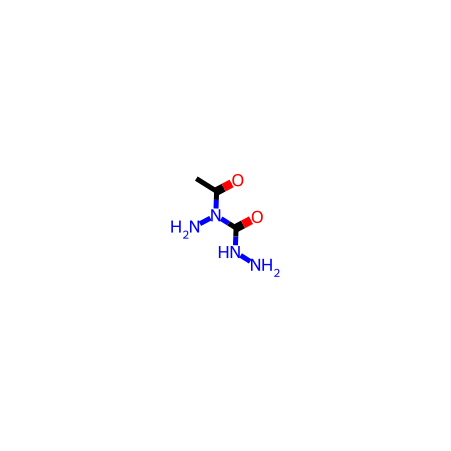 CC(=O)N(N)C(=O)NN